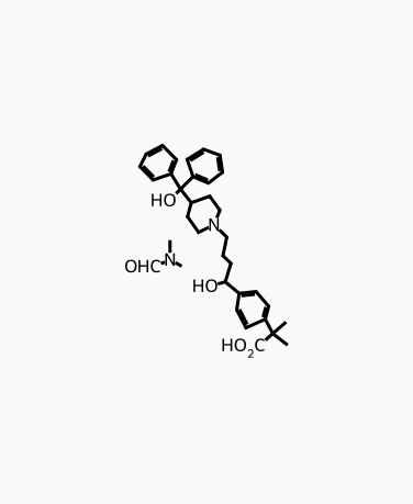 CC(C)(C(=O)O)c1ccc(C(O)CCCN2CCC(C(O)(c3ccccc3)c3ccccc3)CC2)cc1.CN(C)C=O